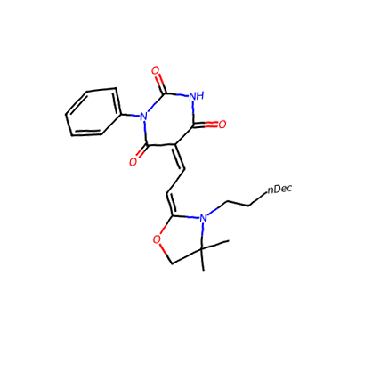 CCCCCCCCCCCCN1C(=CC=C2C(=O)NC(=O)N(c3ccccc3)C2=O)OCC1(C)C